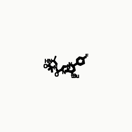 C[C@H]1CN(C(=O)c2cn3nc(-c4ccc(F)cc4)cc(C(C)(C)C)c3n2)C(C)(C)C(=O)N1